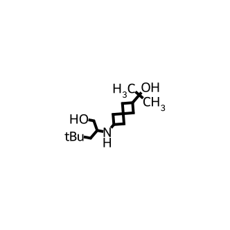 CC(C)(C)CC(CO)NC1CC2(C1)CC(C(C)(C)O)C2